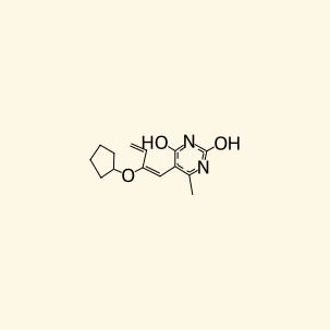 C=C/C(=C\c1c(C)nc(O)nc1O)OC1CCCC1